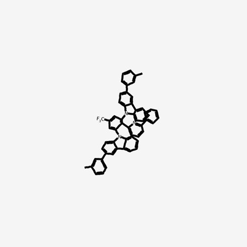 Cc1cccc(-c2ccc3c(c2)c2ccccc2n3-c2cc(C(F)(F)F)cc(-n3c4ccccc4c4cc(-c5cccc(C)c5)ccc43)c2-c2cccc(-c3ccccc3)n2)c1